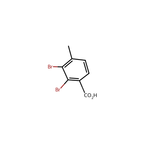 Cc1ccc(C(=O)O)c(Br)c1Br